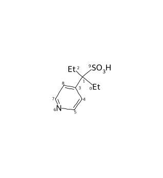 CCC(CC)(c1ccncc1)S(=O)(=O)O